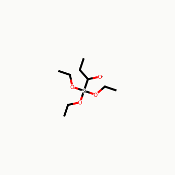 CCO[Si](OCC)(OCC)C([O])CC